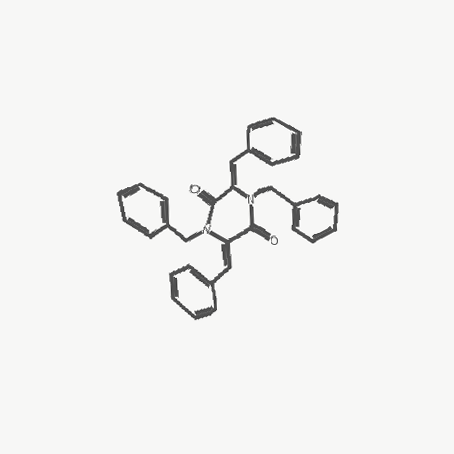 O=c1/c(=C/c2ccccc2)n(Cc2ccccc2)c(=O)/c(=C/c2ccccc2)n1Cc1ccccc1